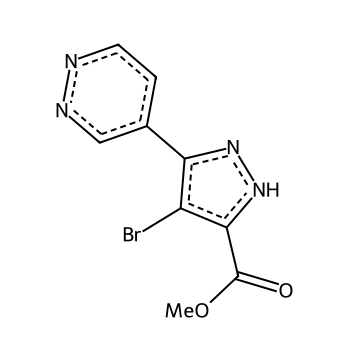 COC(=O)c1[nH]nc(-c2ccnnc2)c1Br